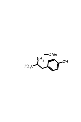 COC.NC(Cc1ccc(O)cc1)C(=O)O